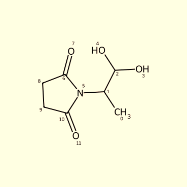 CC(C(O)O)N1C(=O)CCC1=O